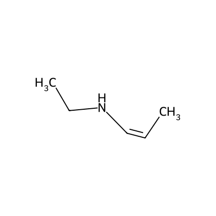 C/C=C\NCC